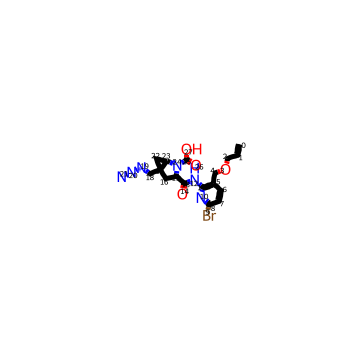 C=CCOCc1ccc(Br)nc1NC(=O)C1CC2(CN=[N+]=[N-])CC2N1C(=O)O